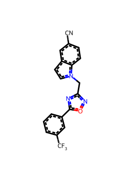 N#Cc1ccc2c(ccn2Cc2noc(-c3cccc(C(F)(F)F)c3)n2)c1